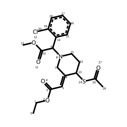 CCOC(=O)C=C1CN(C(C(=O)OC)c2ccccc2Cl)CCC1SC(C)=O